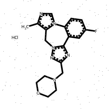 Cc1ncn2c1Cn1nc(CN3CCOCC3)nc1-c1cc(F)ccc1-2.Cl